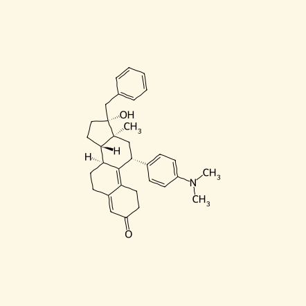 CN(C)c1ccc([C@H]2C[C@@]3(C)[C@@H](CC[C@@]3(O)Cc3ccccc3)[C@@H]3CCC4=CC(=O)CCC4=C32)cc1